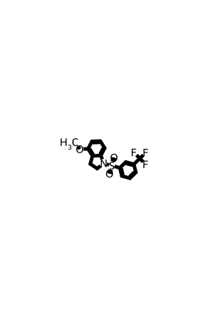 COc1cccc2c1CCN2S(=O)(=O)c1cccc(C(F)(F)F)c1